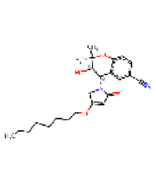 CCCCCCCCOC1=CC(=O)N([C@H]2c3cc(C#N)ccc3OC(C)(C)[C@@H]2O)C1